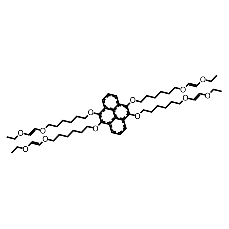 CCOC=COCCCCCCOc1c(OCCCCCCOC=COCC)c2cccc3c(OCCCCCCOC=COCC)c(OCCCCCCOC=COCC)c4cccc1c4c23